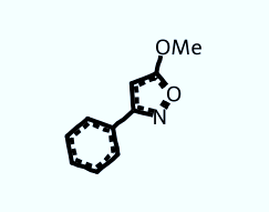 COc1cc(-c2ccccc2)no1